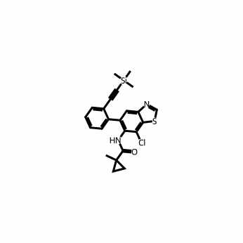 CC1(C(=O)Nc2c(-c3ccccc3C#C[Si](C)(C)C)cc3ncsc3c2Cl)CC1